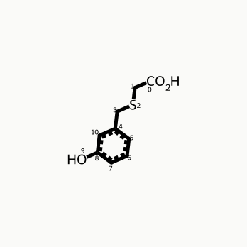 O=C(O)CSCc1cccc(O)c1